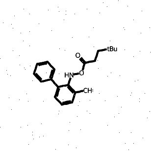 [CH]c1cccc(-c2ccccc2)c1NOC(=O)CCC(C)(C)C